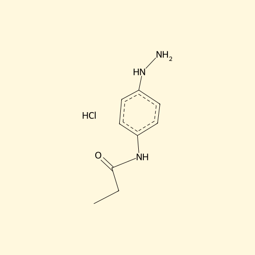 CCC(=O)Nc1ccc(NN)cc1.Cl